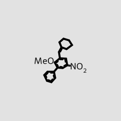 COc1c(C=C2CCCCC2)cc([N+](=O)[O-])cc1-c1ccccc1